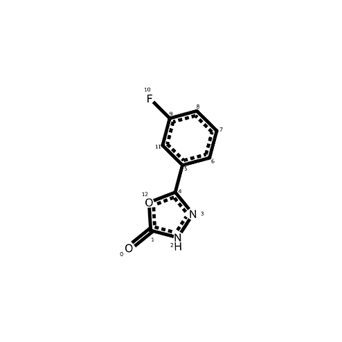 O=c1[nH]nc(-c2cccc(F)c2)o1